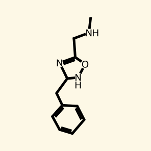 CNCC1=NC(Cc2ccccc2)NO1